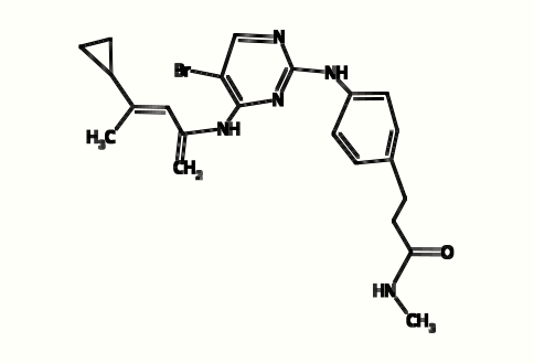 C=C(/C=C(\C)C1CC1)Nc1nc(Nc2ccc(CCC(=O)NC)cc2)ncc1Br